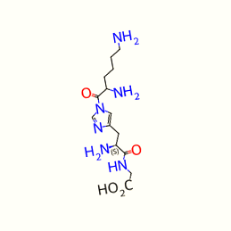 NCCCCC(N)C(=O)n1cnc(C[C@H](N)C(=O)NCC(=O)O)c1